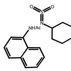 CC(=O)Nc1cccc2ccccc12.O=S(=O)=NC1CCCCC1